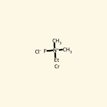 CC[N+](C)(C)F.[Cl-].[Cr]